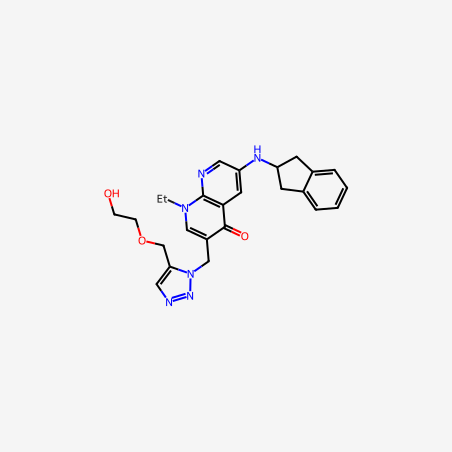 CCn1cc(Cn2nncc2COCCO)c(=O)c2cc(NC3Cc4ccccc4C3)cnc21